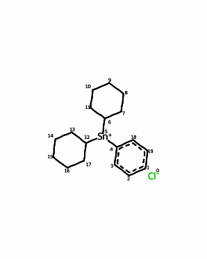 [Cl-].c1cc[c]([Sn+]([CH]2CCCCC2)[CH]2CCCCC2)cc1